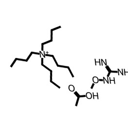 CC(=O)O.CCCC[N+](CCCC)(CCCC)CCCC.CONC(=N)N